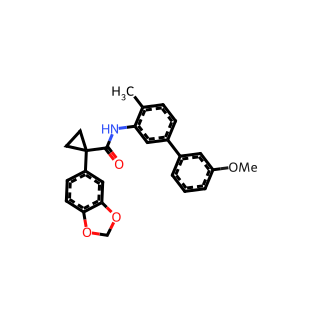 COc1cccc(-c2ccc(C)c(NC(=O)C3(c4ccc5c(c4)OCO5)CC3)c2)c1